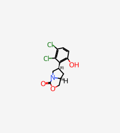 O=C1OC[C@@H]2C[C@H](c3c(O)ccc(Cl)c3Cl)CN12